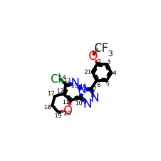 FC(F)(F)Oc1cccc(-c2nnc3c4c(c(Cl)nn23)CCCO4)c1